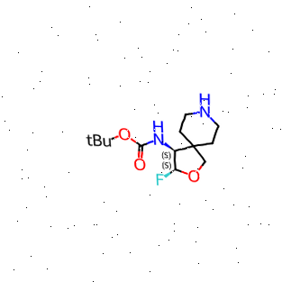 CC(C)(C)OC(=O)N[C@@H]1[C@H](F)OCC12CCNCC2